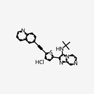 CC(C)(C)Nc1c(-c2ccc(C#Cc3ccc4ncccc4c3)s2)nc2cnccn12.Cl